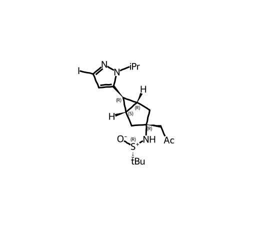 CC(=O)C[C@]1(N[S@@+]([O-])C(C)(C)C)C[C@@H]2[C@H](C1)[C@H]2c1cc(I)nn1C(C)C